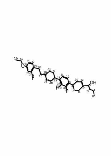 CCCC(O)C1CCC(c2ccc(C3CCC(CCc4ccc(OCC)cc4F)CC3)c(F)c2F)CC1